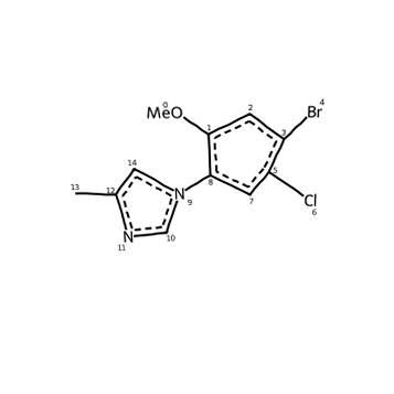 COc1cc(Br)c(Cl)cc1-n1cnc(C)c1